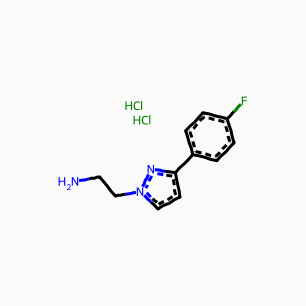 Cl.Cl.NCCn1ccc(-c2ccc(F)cc2)n1